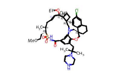 CCO[C@]1(C=O)/C=C/C[C@H](C)[C@@H](CCOC)S(=O)(=O)NC(=O)c2cc(CC(C)(C)N3CCNCC3)c3c(c2)N(C[C@@H]2CC[C@H]21)C[C@@]1(CCCc2cc(Cl)ccc21)CO3